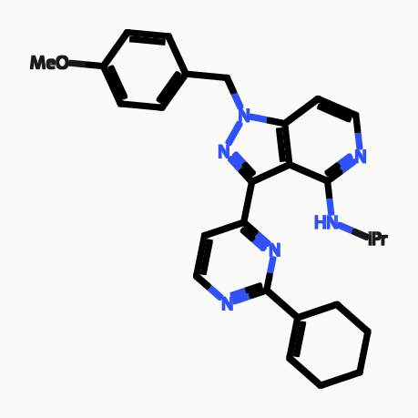 COc1ccc(Cn2nc(-c3ccnc(C4=CCCCC4)n3)c3c(NC(C)C)nccc32)cc1